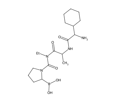 CCN(C(=O)C(C)NC(=O)C(N)C1CCCCC1)C(=O)N1CCCC1B(O)O